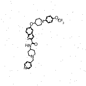 O=C(NC1CCN(Cc2ccncc2)CC1)c1cc2cc(OC3CCN(c4ccc(OC(F)(F)F)cc4)CC3)ccc2s1